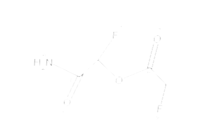 NC(=O)C(F)OC(=O)CF